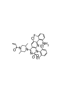 C=CC(=O)N1CC(C)N(C2=NS(=O)(=O)N(c3c(CC)cccc3CC)c3nc(-c4c(N)cccc4F)c(Cl)cc32)CC1C